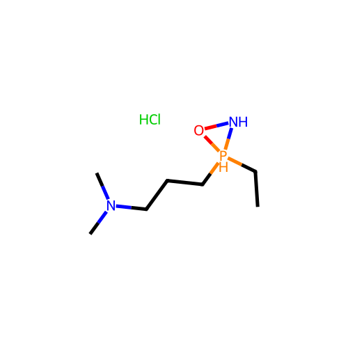 CC[PH]1(CCCN(C)C)NO1.Cl